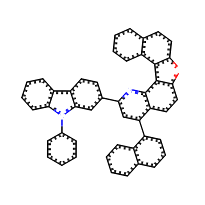 c1ccc(-n2c3ccccc3c3ccc(-c4cc(-c5cccc6ccccc56)c5ccc6oc7ccc8ccccc8c7c6c5n4)cc32)cc1